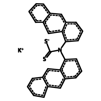 S=C([S-])N(c1cccc2cc3ccccc3cc12)c1cccc2cc3ccccc3cc12.[K+]